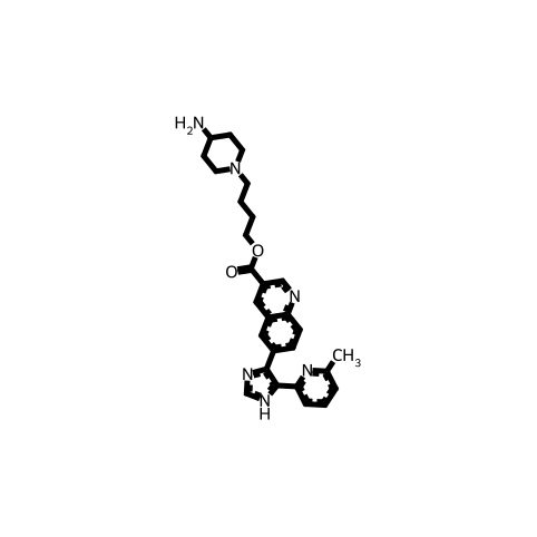 Cc1cccc(-c2[nH]cnc2-c2ccc3ncc(C(=O)OCCCCN4CCC(N)CC4)cc3c2)n1